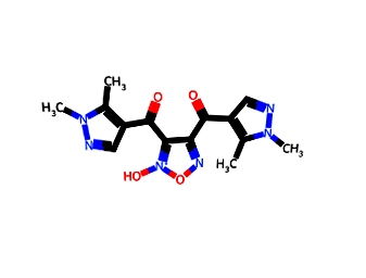 Cc1c(C(=O)c2no[n+](O)c2C(=O)c2cnn(C)c2C)cnn1C